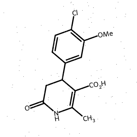 COc1cc(C2CC(=O)NC(C)=C2C(=O)O)ccc1Cl